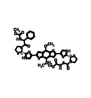 COC(=O)NSC(=O)N1CCS[C@H]1c1nc(-c2cc3c(OC)c4sc(-c5c[nH]c([C@@H]6SCCN6C(=O)C(NC(=O)OC)c6ccccc6)n5)cc4c(OC)c3s2)c[nH]1